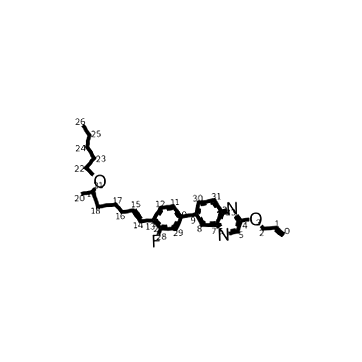 C=CCOc1cnc2cc(-c3ccc(C=CCCCC(C)OCCCCC)c(F)c3)ccc2n1